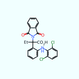 CCC(C(=O)O)(c1ccccc1Nc1c(Cl)cccc1Cl)N1C(=O)c2ccccc2C1=O